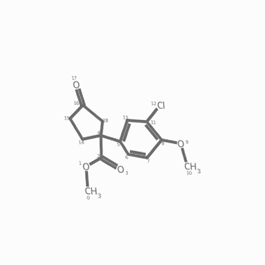 COC(=O)C1(c2ccc(OC)c(Cl)c2)CCC(=O)C1